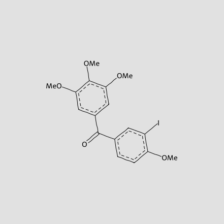 COc1ccc(C(=O)c2cc(OC)c(OC)c(OC)c2)cc1I